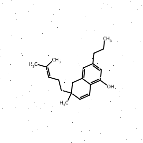 CCCc1cc(O)c2c(c1)CC(C)(CCC=C(C)C)C=C2